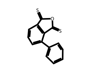 S=C1OC(=S)c2c1cccc2-c1ccccc1